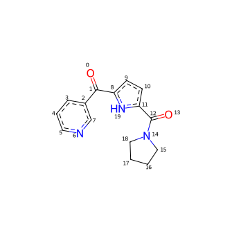 O=C(c1cccnc1)c1ccc(C(=O)N2CCCC2)[nH]1